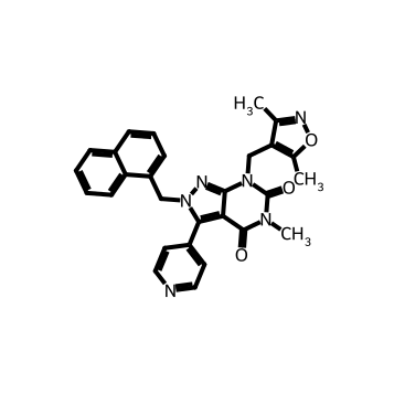 Cc1noc(C)c1Cn1c(=O)n(C)c(=O)c2c(-c3ccncc3)n(Cc3cccc4ccccc34)nc21